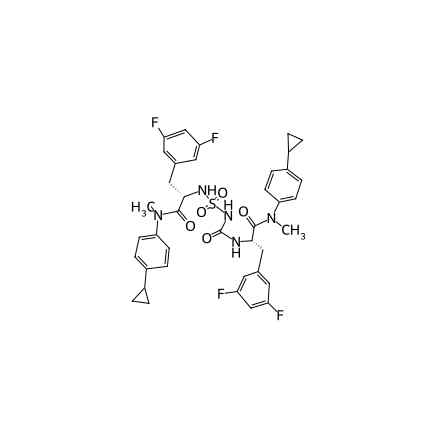 CN(C(=O)[C@H](Cc1cc(F)cc(F)c1)NC(=O)NS(=O)(=O)N[C@@H](Cc1cc(F)cc(F)c1)C(=O)N(C)c1ccc(C2CC2)cc1)c1ccc(C2CC2)cc1